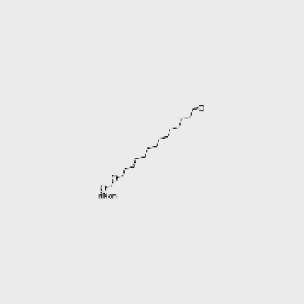 CCCCCCCCCOCOCCC=CCCCCCCCCCCCl